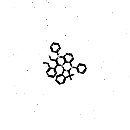 CCC1=C(c2ccccc2CC)B2c3c(cccc3N(c3ccccc3)C3C2c2ccccc2C3(C)C)N1c1ccccc1